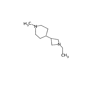 CCN1CC(C2CCN(C)CC2)C1